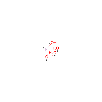 O.O.O=PO